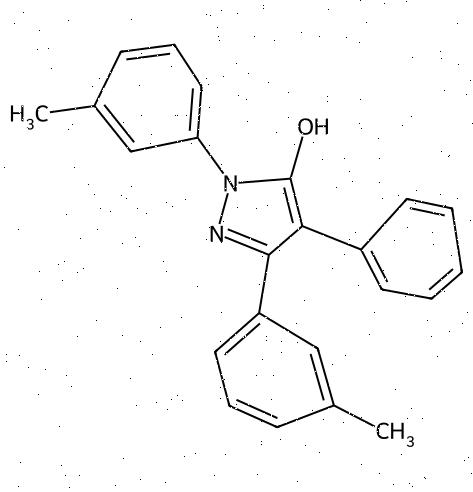 Cc1cccc(-c2nn(-c3cccc(C)c3)c(O)c2-c2ccccc2)c1